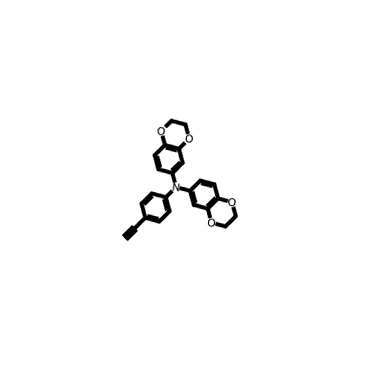 C#Cc1ccc(N(c2ccc3c(c2)OCCO3)c2ccc3c(c2)OCCO3)cc1